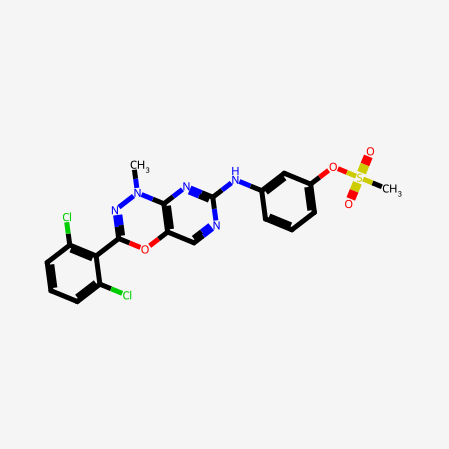 CN1N=C(c2c(Cl)cccc2Cl)Oc2cnc(Nc3cccc(OS(C)(=O)=O)c3)nc21